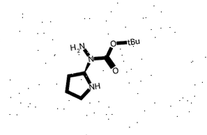 CC(C)(C)OC(=O)N(N)[C@@H]1CCCN1